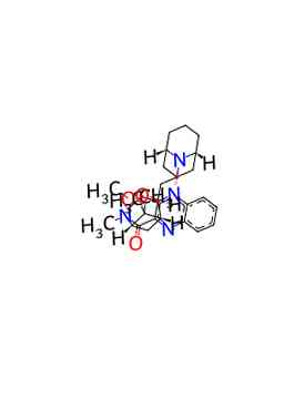 CON(C)C(=O)c1nc2ccccc2n([C@H]2C[C@H]3CCC[C@@H](C2)N3CC[C@@H]2CC[C@H]3C[C@@H]2C3(C)C)c1=O